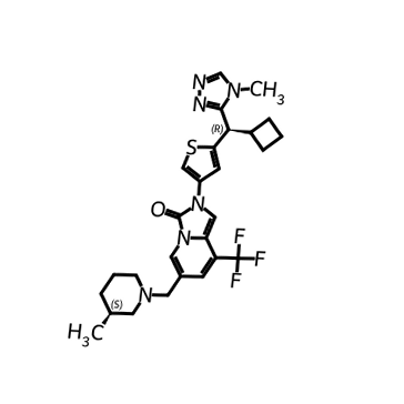 C[C@H]1CCCN(Cc2cc(C(F)(F)F)c3cn(-c4csc([C@@H](c5nncn5C)C5CCC5)c4)c(=O)n3c2)C1